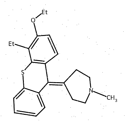 CCOc1ccc2c(c1CC)Sc1ccccc1C2=C1CCN(C)CC1